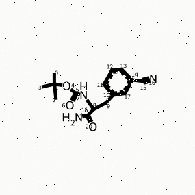 CC(C)(C)OC(=O)NC(Cc1cccc(C#N)c1)C(N)=O